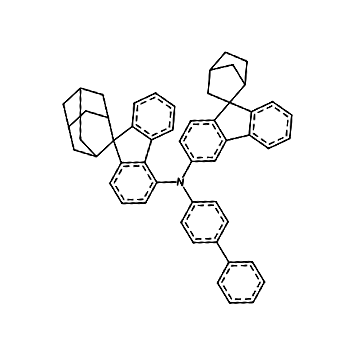 c1ccc(-c2ccc(N(c3ccc4c(c3)-c3ccccc3C43CC4CCC3C4)c3cccc4c3-c3ccccc3C43C4CC5CC(C4)CC3C5)cc2)cc1